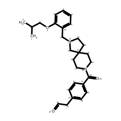 CC(C)COc1ccccc1CN1CCC2(CCN(C(=O)c3ccc(CC=O)cc3)CC2)C1